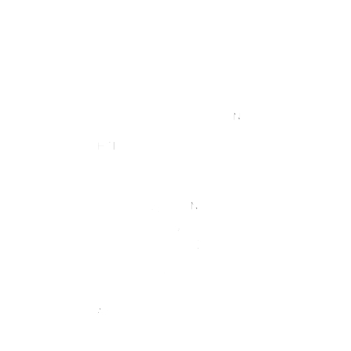 CC(=O)c1ccc(S(=O)(=O)N2CCC(CN3CCc4ccccc4C3)CC2)cc1.Cl